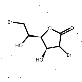 O=C1O[C@H](C(O)CBr)[C@H](O)C1Br